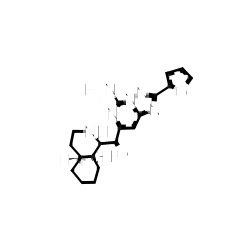 Nc1nc(C(=O)C2NCC[C@H]3CCCC[C@H]23)cc2nc(-c3ccco3)nn12